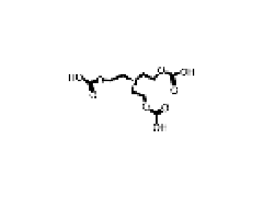 O=C(O)OCCN(CCOC(=O)O)CCOC(=O)O